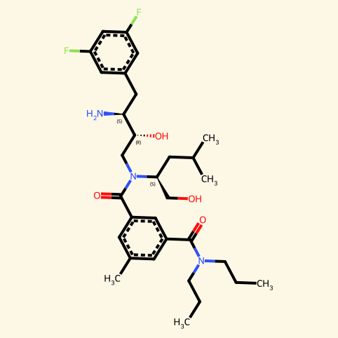 CCCN(CCC)C(=O)c1cc(C)cc(C(=O)N(C[C@@H](O)[C@@H](N)Cc2cc(F)cc(F)c2)[C@H](CO)CC(C)C)c1